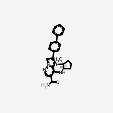 C[C@]1(F)CCC[C@H]1Nc1c(C(N)=O)cnn2cc(-c3ccc(-c4ccccc4)cc3)cc12